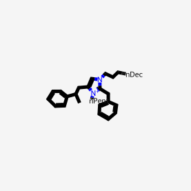 CCCCCCCCCCCCCn1cc(CC(C)c2ccccc2)[n+](CCCCC)c1Cc1ccccc1